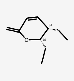 C=C1C=C[C@H](CC)[C@H](CC)O1